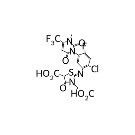 Cn1c(C(F)(F)F)cc(=O)n(-c2cc(N=C3SC(C(=O)O)C(=O)N3CC(=O)O)c(Cl)cc2F)c1=O